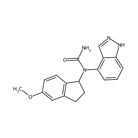 COc1ccc2c(c1)CCC2N(C(N)=O)c1cccc2[nH]ncc12